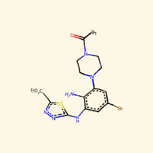 CCOC(=O)c1nnc(Nc2cc(Br)cc(N3CCN(C(=O)C(C)C)CC3)c2N)s1